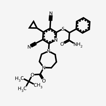 CC(C)(C)OC(=O)N1CCCN(c2nc(SC(C(N)=O)c3ccccc3)c(C#N)c(C3CC3)c2C#N)CC1